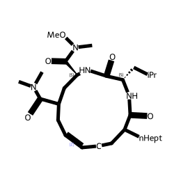 CCCCCCCC1CC/C=C\CC(C(=O)N(C)C)C[C@@H](C(=O)N(C)OC)NC(=O)[C@H](CC(C)C)NC1=O